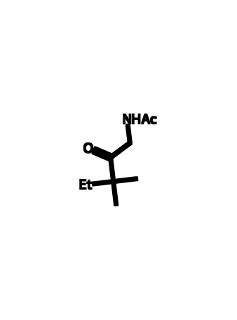 CCC(C)(C)C(=O)CNC(C)=O